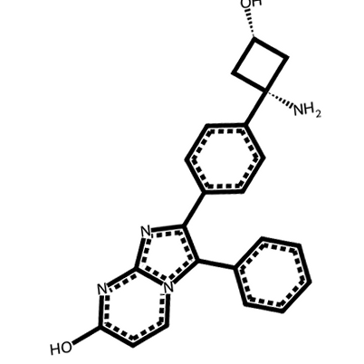 N[C@]1(c2ccc(-c3nc4nc(O)ccn4c3-c3ccccc3)cc2)C[C@H](O)C1